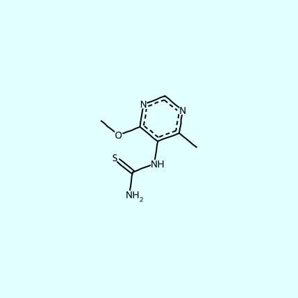 COc1ncnc(C)c1NC(N)=S